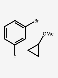 COC1CC1.Fc1cccc(Br)c1